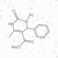 COC(=O)C1=C(C)NC(=O)N(C(C)=O)C1c1ccccc1